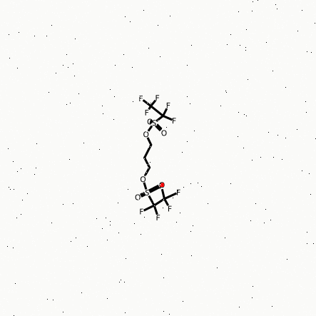 O=S(=O)(OCCCOS(=O)(=O)C(F)(F)C(F)(F)F)C(F)(F)C(F)(F)F